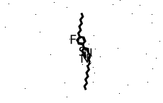 CCCCCCCCCc1cn2cc(-c3ccc(CCCCCCC)c(F)c3)sc2n1